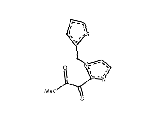 COC(=O)C(=O)c1nccn1Cc1cccs1